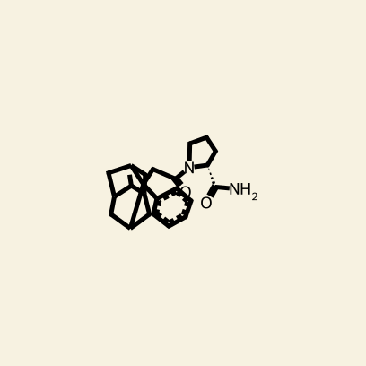 CC1C2CC3CC1CC(C2)C3(CC(=O)N1CCC[C@@H]1C(N)=O)c1ccccc1